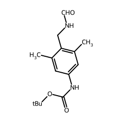 Cc1cc(NC(=O)OC(C)(C)C)cc(C)c1CNC=O